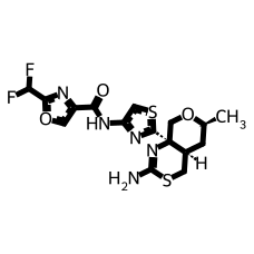 C[C@H]1C[C@H]2CSC(N)=N[C@@]2(c2nc(NC(=O)c3coc(C(F)F)n3)cs2)CO1